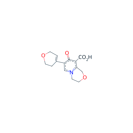 O=C(O)c1c2n(cc(C3=CCOCC3)c1=O)CCOC2